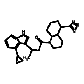 CC(CC(=O)N1CCCC2C(C3=NN=N3)CCCC21)c1c[nH]c2cccc(C3CC3)c12